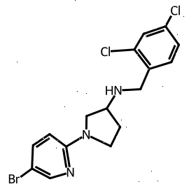 Clc1ccc(CNC2CCN(c3ccc(Br)cn3)C2)c(Cl)c1